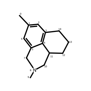 Cc1cc2c3c(c1)CN(C)CC3CCC2